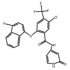 O=C(Nc1cc[nH]c(=O)c1)c1cc(Cl)c(C(F)(F)F)cc1Oc1ccc(F)c2ccccc12